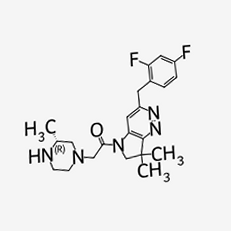 C[C@@H]1CN(CC(=O)N2CC(C)(C)c3nnc(Cc4ccc(F)cc4F)cc32)CCN1